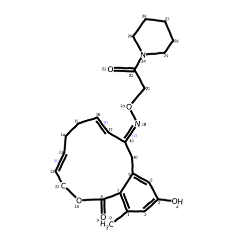 Cc1cc(O)cc2c1C(=O)OC/C=C/CC/C=C/C(=N\OCC(=O)N1CCCCC1)C2